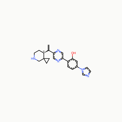 C=C(c1cnc(-c2ccc(-n3ccnc3)cc2O)cn1)[C@@H]1CCNCC12CC2